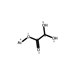 CC(=O)OC(=O)C(O)O